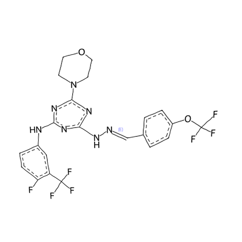 Fc1ccc(Nc2nc(N/N=C/c3ccc(OC(F)(F)F)cc3)nc(N3CCOCC3)n2)cc1C(F)(F)F